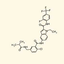 CCn1c(C(=O)Nc2ccc(C(F)(F)F)cc2F)cc2cc(NC(=O)c3cc(CNC(=O)C(C)C)ccc3Cl)ccc21